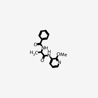 COc1ncccc1NC(=O)C(C)NC(=O)c1ccccc1